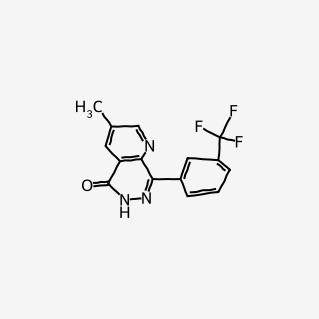 Cc1cnc2c(-c3cccc(C(F)(F)F)c3)n[nH]c(=O)c2c1